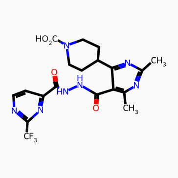 Cc1nc(C)c(C(=O)NNC(=O)c2ccnc(C(F)(F)F)n2)c(C2CCN(C(=O)O)CC2)n1